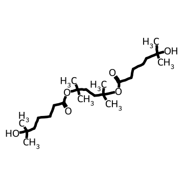 CC(C)(O)CCCCC(=O)OC(C)(C)CCC(C)(C)OC(=O)CCCCC(C)(C)O